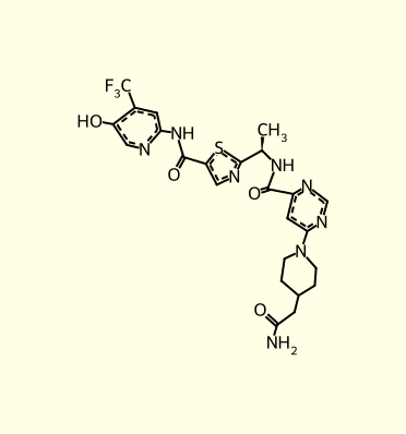 C[C@@H](NC(=O)c1cc(N2CCC(CC(N)=O)CC2)ncn1)c1ncc(C(=O)Nc2cc(C(F)(F)F)c(O)cn2)s1